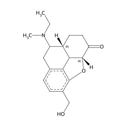 CCN(C)C1Cc2ccc(CO)c3c2C2[C@H]1CCC(=O)[C@@H]2O3